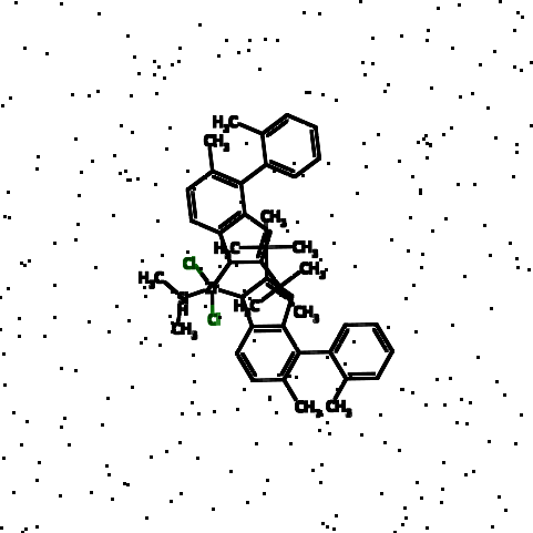 Cc1ccccc1-c1c(C)ccc2c1C=C(C(C)(C)C)[CH]2[Zr]([Cl])([Cl])([CH]1C(C(C)(C)C)=Cc2c1ccc(C)c2-c1ccccc1C)[SiH](C)C